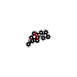 c1ccc(-c2ccccc2N(c2ccc3c(c2)-c2ccccc2-c2ccccc2C32c3ccccc3-c3cc4c(cc32)sc2ccccc24)c2cccc3c2Oc2ccccc2-c2ccccc2-3)cc1